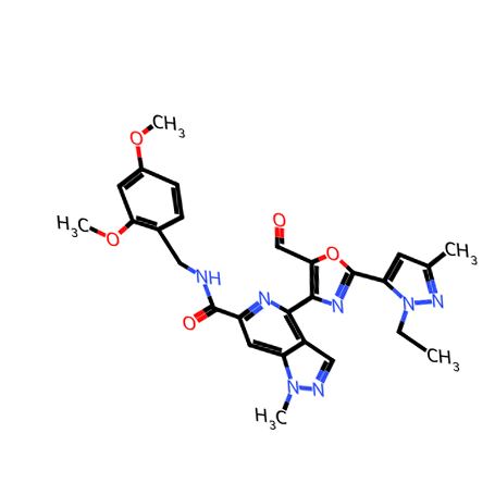 CCn1nc(C)cc1-c1nc(-c2nc(C(=O)NCc3ccc(OC)cc3OC)cc3c2cnn3C)c(C=O)o1